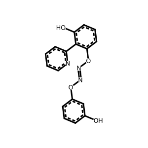 Oc1cccc(ON=NOc2cccc(O)c2-c2ccccn2)c1